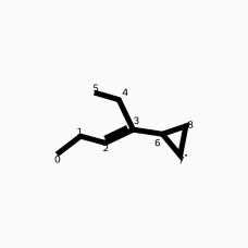 CCC=C(CC)C1[CH]C1